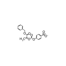 C[C@H](OC(=O)Oc1ccc([N+](=O)[O-])cc1)C(=O)OCc1ccccc1